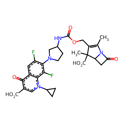 CC1=C(COC(=O)NC2CCN(c3c(F)cc4c(=O)c(C(=O)O)cn(C5CC5)c4c3F)C2)C(C)(C(=O)O)C2CC(=O)N12